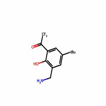 CC(C)(C)c1cc(CN)c(O)c(C(=O)C(F)(F)F)c1